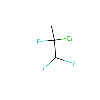 CC(F)(Cl)C(F)F